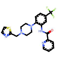 O=C(Nc1cc(C(F)(F)F)ccc1N1CCN(Cc2nccs2)CC1)c1ccccn1